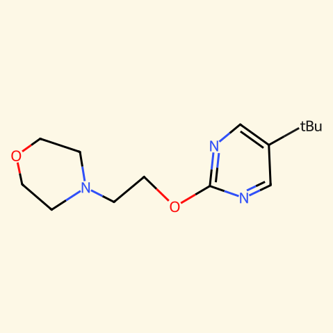 CC(C)(C)c1cnc(OCCN2CCOCC2)nc1